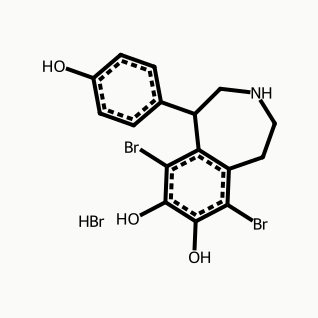 Br.Oc1ccc(C2CNCCc3c(Br)c(O)c(O)c(Br)c32)cc1